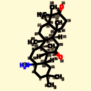 CC1(C)CCC2(N)CC[C@]3(C)[C@H](C(=O)C[C@@H]4[C@@]5(C)CCC(=O)C(C)(C)[C@@H]5CC[C@]43C)[C@@H]2C1